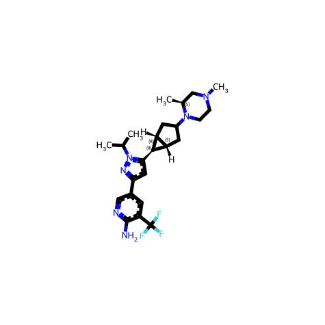 CC(C)n1nc(-c2cnc(N)c(C(F)(F)F)c2)cc1[C@H]1[C@@H]2CC(N3CCN(C)C[C@@H]3C)C[C@@H]21